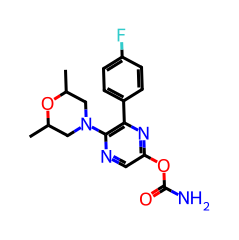 CC1CN(c2ncc(OC(N)=O)nc2-c2ccc(F)cc2)CC(C)O1